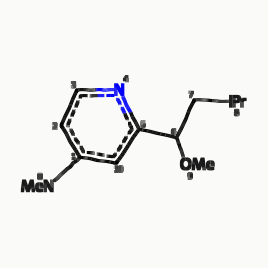 CNc1ccnc(C(CC(C)C)OC)c1